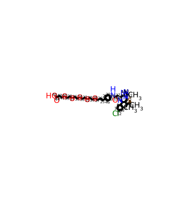 Cc1sc2c(c1C)C(c1ccc(Cl)cc1)=N[C@@H](CC(=O)Nc1ccc(/C=C/COCCOCCOCCOCCOCCC(=O)O)cc1)c1nnc(C)n1-2